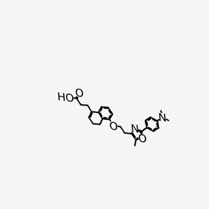 Cc1oc(-c2ccc(N(C)C)cc2)nc1CCOc1cccc2c1CCC=C2CCC(=O)O